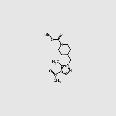 Cc1c([N+](C)=O)cnn1CC1CCN(C(=O)OC(C)(C)C)CC1